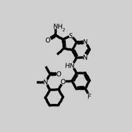 CC(=O)N(C)C1CCCCC1Oc1cc(F)ccc1Nc1ncnc2sc(C(N)=O)c(C)c12